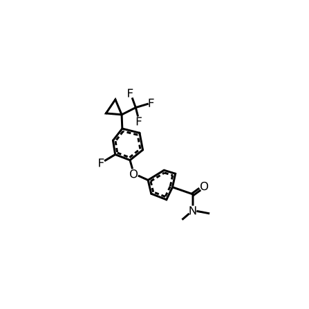 CN(C)C(=O)c1ccc(Oc2ccc(C3(C(F)(F)F)CC3)cc2F)cc1